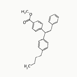 CCCCc1ccc(C(Cc2ccccc2)c2ccc(C(=O)OC)cc2)cc1